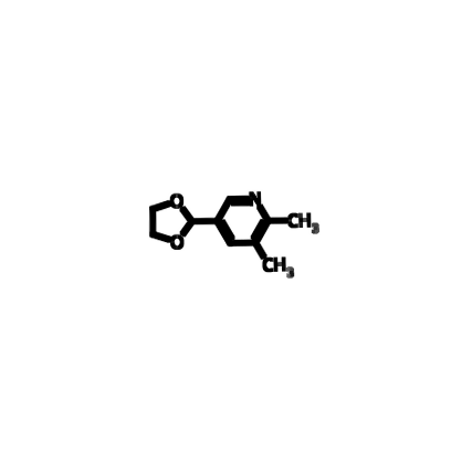 Cc1cc(C2OCCO2)cnc1C